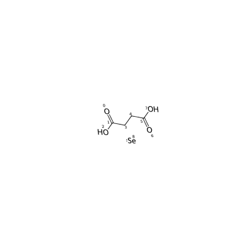 O=C(O)CCC(=O)O.[Se]